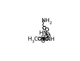 Cc1ccc(S(=O)(=O)N2CCNC(=O)[C@H]2CC(=O)N[C@@H]2CCCc3cc(CCCN)ccc32)cc1